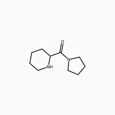 O=C(C1CCCCN1)N1CCCC1